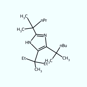 CCCCC(C)(C)c1nc(C(C)(C)CCC)[nH]c1C(C)(CC)CC